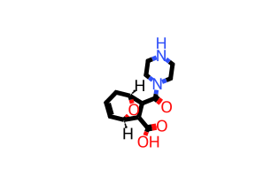 O=C(O)C1C(C(=O)N2CCNCC2)[C@@H]2CC=C[C@H]1O2